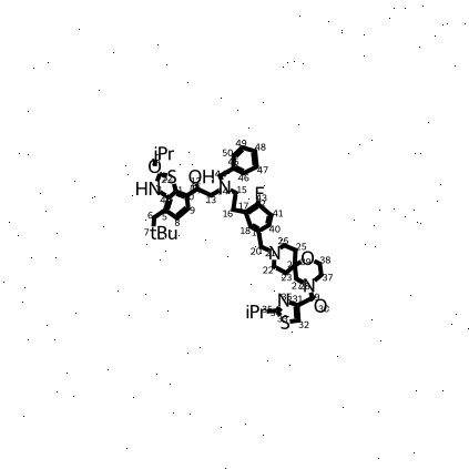 CC(C)OC1Nc2c(CC(C)(C)C)ccc([C@@H](O)CN(CCc3cc(CN4CCC5(CC4)CN(C(=O)c4csc(C(C)C)n4)CCO5)ccc3F)Cc3ccccc3)c2S1